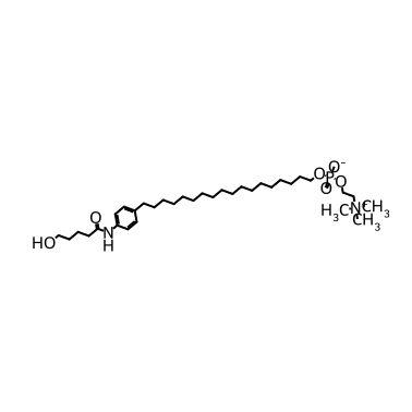 C[N+](C)(C)CCOP(=O)([O-])OCCCCCCCCCCCCCCCCCCc1ccc(NC(=O)CCCCO)cc1